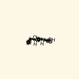 CC(C)(CCCNc1ccc(CNCCCO[PH](=O)O)cc1Cl)Cc1ccccc1